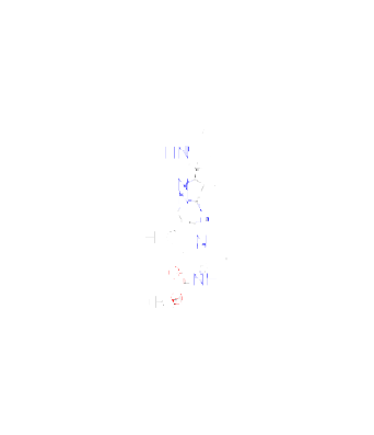 Cc1cn2nc([C@@H]3CCCCN3)cc2nc1N1CCC(NC(=O)OC(C)(C)C)C1